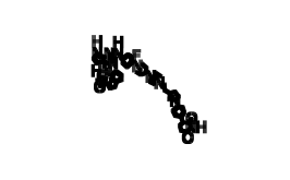 CS(=O)(=O)N1CCc2cccc(Nc3nc(Nc4ccc(N5CCC(N6CCN(CCC7CCN(c8ccc(C9CCC(=O)NC9=O)cc8)C7)CC6)CC5)c(F)c4)nc4[nH]ccc34)c21